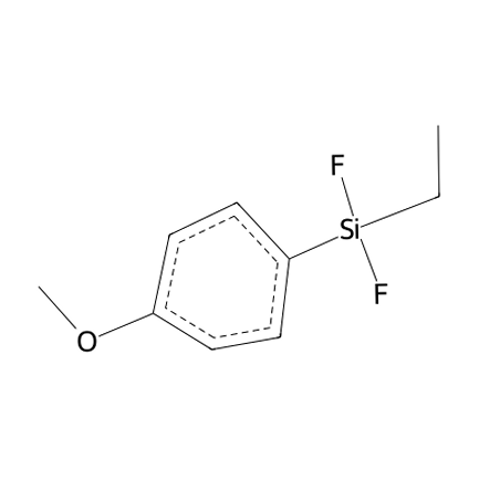 CC[Si](F)(F)c1ccc(OC)cc1